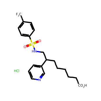 Cl.O=C(O)CCCCCC(CNS(=O)(=O)c1ccc(C(F)(F)F)cc1)c1cccnc1